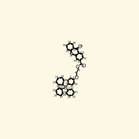 O=C(OCCOc1ccc([B-](c2ccccc2)(c2ccccc2)c2ccccc2)cc1)c1ccc2c(=O)c3ccccc3sc2c1